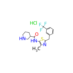 Cc1nc(Cc2cccc(C(F)(F)F)c2)sc1NC(=O)C1CCCNC1.Cl